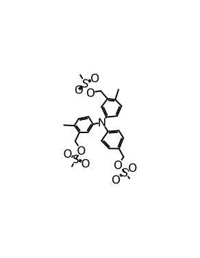 Cc1ccc(N(c2ccc(COS(C)(=O)=O)cc2)c2ccc(C)c(COS(C)(=O)=O)c2)cc1COS(C)(=O)=O